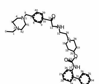 CCN1CCN(Cc2ccc(C(=O)CNCCN3CCC(OC(=O)Nc4ccccc4-c4ccccc4)CC3)cc2)CC1